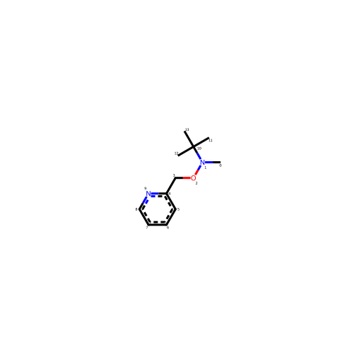 CN(OCc1ccccn1)C(C)(C)C